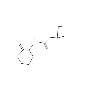 O=C(O)CC(O)(CC(=O)NC1CCCOC1=O)C(=O)O